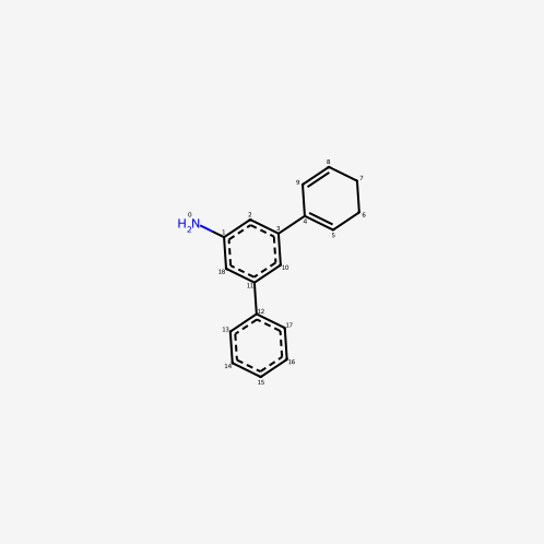 Nc1cc(C2=CCCC=C2)cc(-c2ccccc2)c1